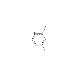 Fc1cc([S])ccn1